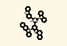 c1ccc2cc3c(cc2c1)c1ccccc1n3-c1cc(C2=NC(n3c4ccccc4c4ccccc43)=NC(c3ccc4oc5ccccc5c4c3)N2)cc2c1oc1c3ccccc3ccc21